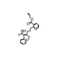 C=CCOC(=O)c1cccnc1CCCC(CF)=C(C(=N)F)c1ccccn1